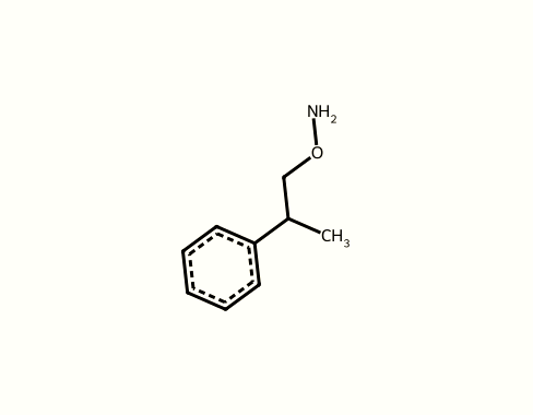 CC(CON)c1ccccc1